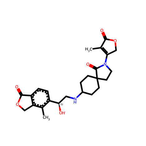 CC1=C(N2CCC3(CCC(NC[C@@H](O)c4ccc5c(c4C)COC5=O)CC3)C2=O)COC1=O